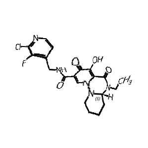 CCN1C(=O)c2c(O)c(=O)c(C(=O)NCc3ccnc(Cl)c3F)cn2N2CCCC[C@@H]12